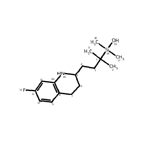 CC(C)(CCC1CCc2ccc(F)cc2N1)[Si](C)(C)O